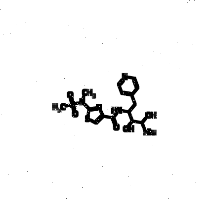 CCCCC(O)C(O)C(Cc1ccncc1)NC(=O)c1csc(N(C)S(C)(=O)=O)n1